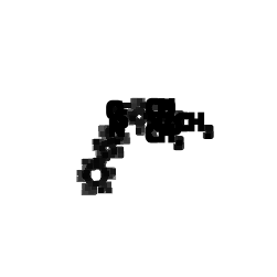 COC(=O)N(C)[C@]1(C)C[C@H]([S+]([O-])N2CC3(CC(C4CCCCC4)C3)C2)C1